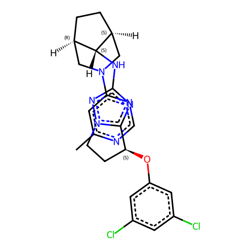 Cc1cc(N2C[C@H]3CC[C@@H](C2)[C@@H]3Nc2nc3n(n2)CC[C@@H]3Oc2cc(Cl)cc(Cl)c2)ncn1